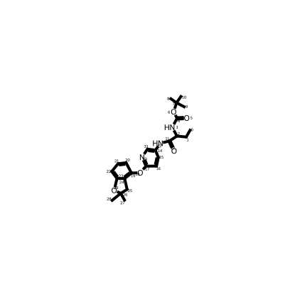 CCC(NC(=O)OC(C)(C)C)C(=O)Nc1ccc(Oc2cccc3c2CC(C)(C)O3)nc1